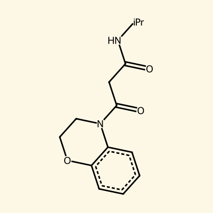 CC(C)NC(=O)CC(=O)N1CCOc2ccccc21